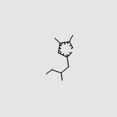 Cc1cc([CH]C(C)CC=O)oc1C